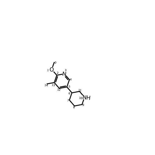 COc1ncc(C2CCCNC2)cc1C